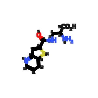 NC(CNC(=O)c1cc2ncccc2s1)C(=O)O